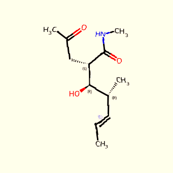 C/C=C/[C@@H](C)[C@@H](O)[C@H](CC(C)=O)C(=O)NC